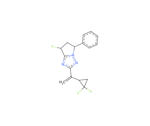 C=C(c1nc2n(n1)C(c1ccccc1)CC2F)C1CC1(F)F